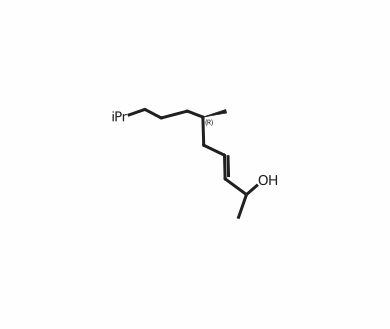 CC(O)C=CC[C@H](C)CCCC(C)C